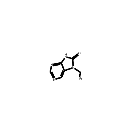 CC(C)Cn1c(=O)[nH]c2ncncc21